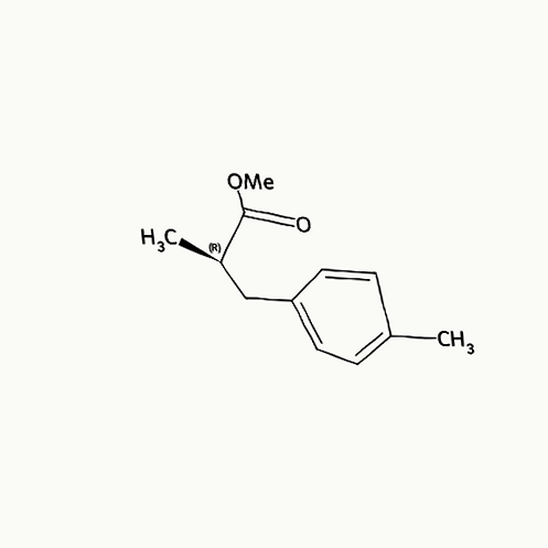 COC(=O)[C@H](C)Cc1ccc(C)cc1